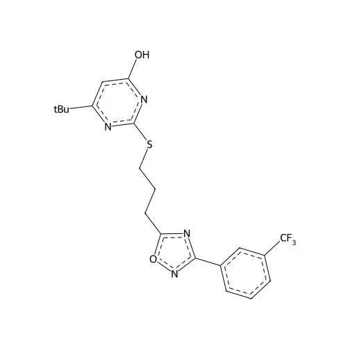 CC(C)(C)c1cc(O)nc(SCCCc2nc(-c3cccc(C(F)(F)F)c3)no2)n1